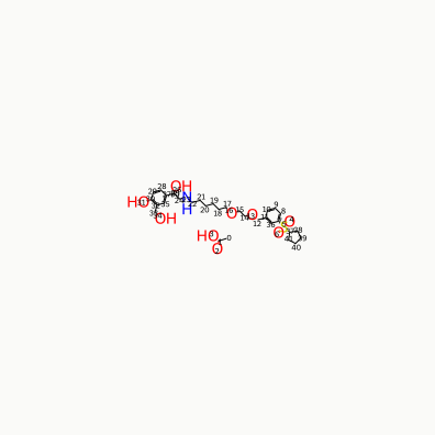 CC(=O)O.O=S(=O)(c1cccc(COCCOCCCCCCNC[C@H](O)c2ccc(O)c(CO)c2)c1)C1CCCC1